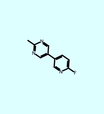 Cc1ncc(-c2[c]nc(F)cc2)cn1